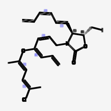 C=C/C=C\C=C\[C@H]1[C@H](CI)OC(=O)N1C/C=C\C(=C/C=C)O/C(C)=C/C=C(\C)Cl